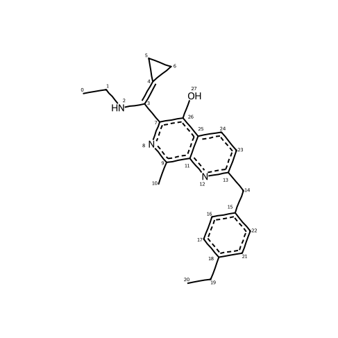 CCNC(=C1CC1)c1nc(C)c2nc(Cc3ccc(CC)cc3)ccc2c1O